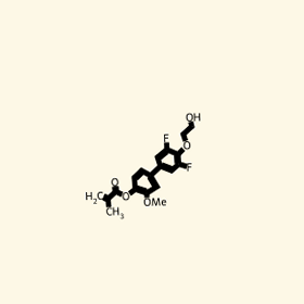 C=C(C)C(=O)Oc1ccc(-c2cc(F)c(OCCO)c(F)c2)cc1OC